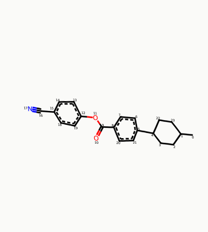 CC1CCC(c2ccc(C(=O)Oc3ccc(C#N)cc3)cc2)CC1